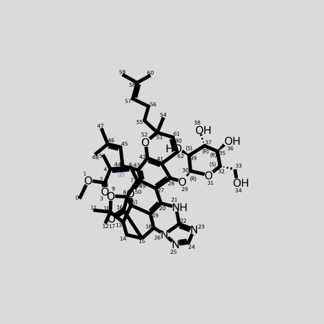 COC(=O)/C(C)=C\CC12OC(C)(C)C3CC(C1=O)C1C4=C(Nc5ncnn51)c1c(O[C@H]5O[C@@H](CO)[C@H](O)[C@@H](O)[C@@H]5O)c5c(c(CC=C(C)C)c1OC432)OC(C)(CCC=C(C)C)C=C5